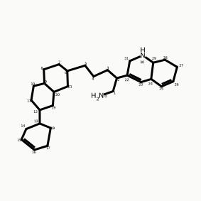 NCC(CCCC1CCC2CCC(C3CC=CCC3)CC2C1)C1=CC2C=CCCC2NC1